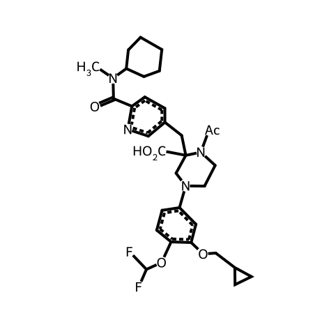 CC(=O)N1CCN(c2ccc(OC(F)F)c(OCC3CC3)c2)CC1(Cc1ccc(C(=O)N(C)C2CCCCC2)nc1)C(=O)O